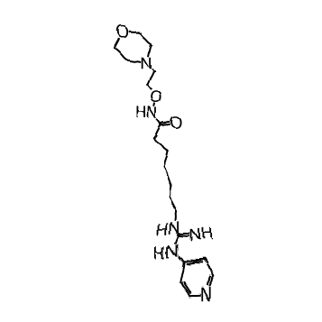 N=C(NCCCCCCC(=O)NOCCN1CCOCC1)Nc1ccncc1